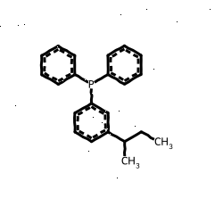 CCC(C)c1cccc(P(c2ccccc2)c2ccccc2)c1